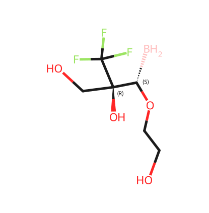 B[C@H](OCCO)[C@](O)(CO)C(F)(F)F